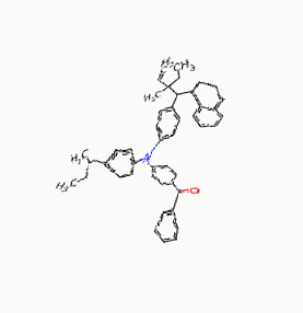 C=CC(C)(CC)C(C1=c2ccccc2=CCC1)c1ccc(N(c2ccc(C(=O)c3ccccc3)cc2)c2ccc(C(C)CC)cc2)cc1